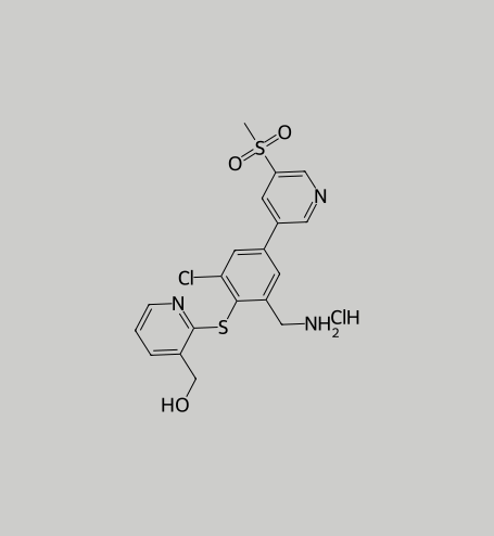 CS(=O)(=O)c1cncc(-c2cc(Cl)c(Sc3ncccc3CO)c(CN)c2)c1.Cl